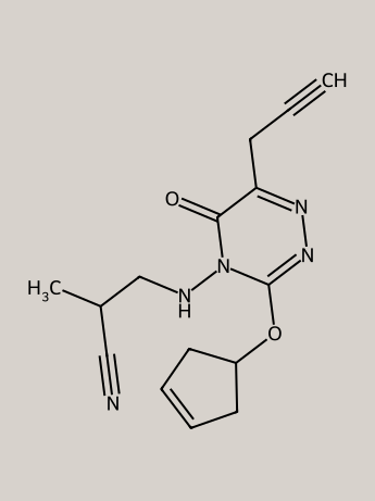 C#CCc1nnc(OC2CC=CC2)n(NCC(C)C#N)c1=O